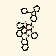 c1ccc(-n2c3ccccc3c3ccc(-c4nc(-c5ccccc5N5c6cc7ccccc7cc6-c6cccc7cccc5c67)nc5c4oc4ccccc45)cc32)cc1